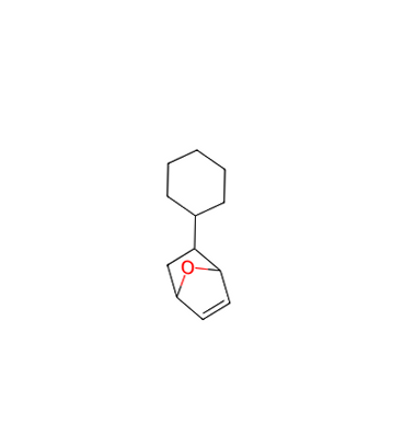 C1=CC2OC1CC2C1CCCCC1